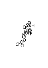 O=C(NC[C@@H](O)CN1CCC(Oc2ccc(Cl)c(Cl)c2)CC1)c1sc(=O)[nH]c1-c1ccc(F)cc1